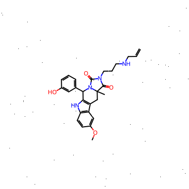 C=CCNCCCN1C(=O)N2C(c3cccc(O)c3)c3[nH]c4ccc(OC)cc4c3CC2(C)C1=O